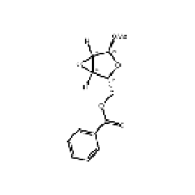 CO[C@H]1O[C@H](COC(=O)c2ccccc2)[C@@H]2O[C@H]12